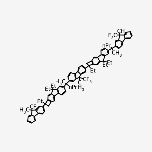 CCCC(C)(c1ccc2c(c1)C(CC)(CC)c1cc3c(cc1-2)CC3(CC)c1ccc2c(c1)C(C)(C(F)(F)F)c1cc(C(C)(CCC)c3ccc4c(c3)C(CC)(CC)c3cc5c(cc3-4)CC5(CC)c3ccc4c(c3)C(C)(C(F)(F)F)c3ccccc3-4)ccc1-2)c1ccc2c(c1)C(C)(C(F)(F)F)c1ccccc1-2